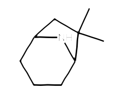 CC1(C)CC2CCCC1N2